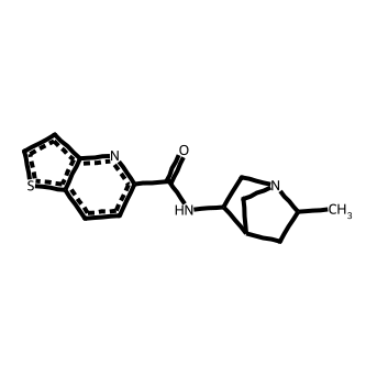 CC1CC2CN1CC2NC(=O)c1ccc2sccc2n1